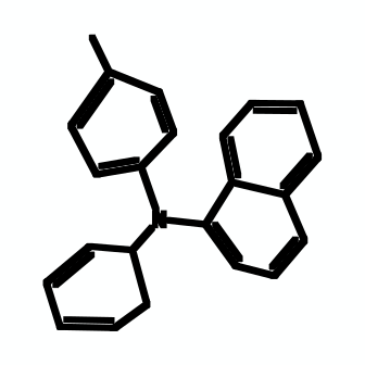 Cc1ccc(N(c2cccc3ccccc23)C2C=CC=CC2)cc1